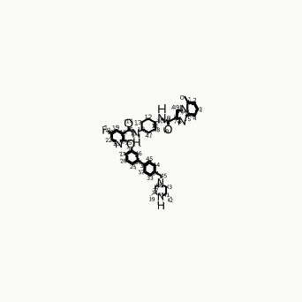 Cc1cccc2nc(C(=O)N[C@H]3CC[C@H](NC(=O)c4cc(F)cnc4Oc4cccc(-c5ccc(CN6C[C@@H](C)N[C@@H](C)C6)cc5)c4)CC3)cn12